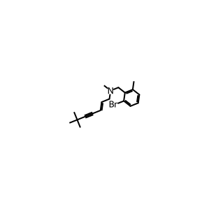 Cc1cccc(Br)c1CN(C)CC=CC#CC(C)(C)C